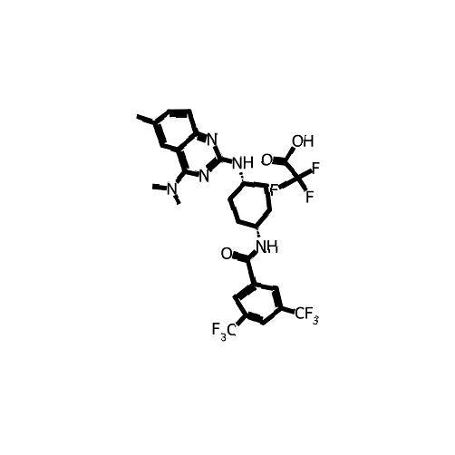 Cc1ccc2nc(N[C@H]3CC[C@@H](NC(=O)c4cc(C(F)(F)F)cc(C(F)(F)F)c4)CC3)nc(N(C)C)c2c1.O=C(O)C(F)(F)F